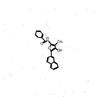 CC(=O)Oc1c(NC(=O)c2ccccc2)oc(-c2ccc3ccccc3c2)c1O